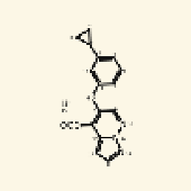 O=C([O-])c1c(Oc2cccc(C3CC3)c2)cnn2nccc12.[Li+]